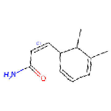 CC1=CC=CC(/C=C\C(N)=O)C1C